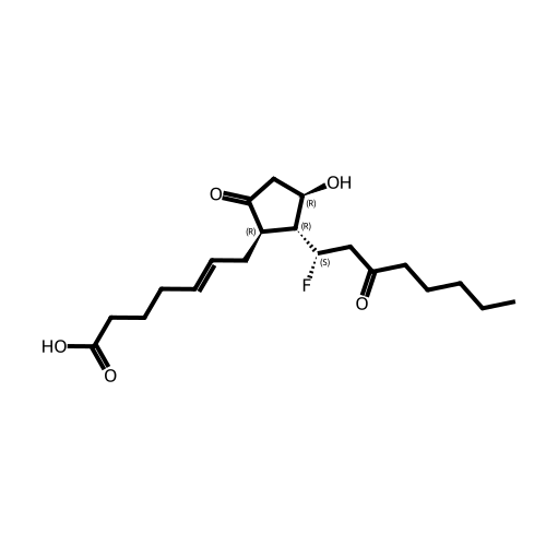 CCCCCC(=O)C[C@H](F)[C@H]1[C@H](O)CC(=O)[C@@H]1CC=CCCCC(=O)O